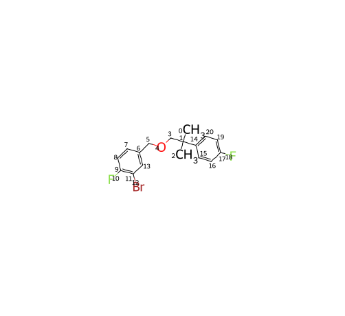 CC(C)(COCc1ccc(F)c(Br)c1)c1ccc(F)cc1